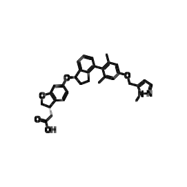 Cc1cc(OCc2ccnn2C)cc(C)c1-c1cccc2c1CC[C@H]2Oc1ccc2c(c1)OC[C@H]2CC(=O)O